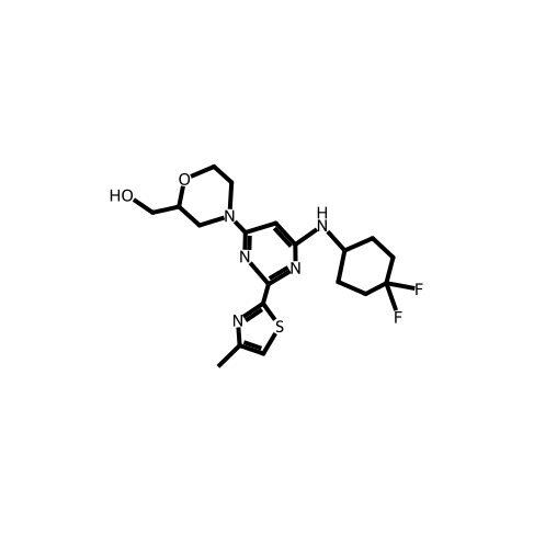 Cc1csc(-c2nc(NC3CCC(F)(F)CC3)cc(N3CCOC(CO)C3)n2)n1